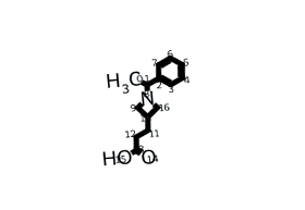 CC(c1ccccc1)N1CC(CCC(=O)O)C1